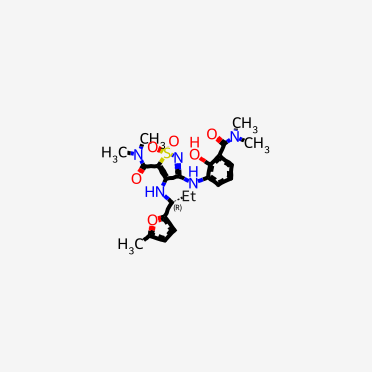 CC[C@@H](NC1=C(C(=O)N(C)C)S(=O)(=O)N=C1Nc1cccc(C(=O)N(C)C)c1O)c1ccc(C)o1